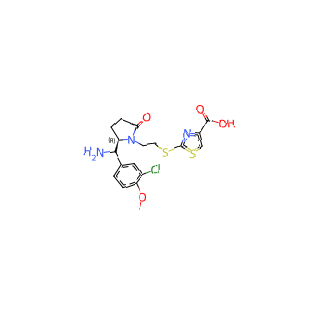 COc1ccc(C(N)[C@H]2CCC(=O)N2CCSc2nc(C(=O)O)cs2)cc1Cl